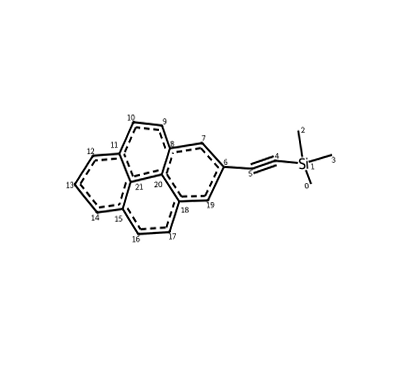 C[Si](C)(C)C#Cc1cc2ccc3cccc4ccc(c1)c2c34